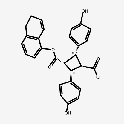 O=C(O)[C@H]1[C@@H](c2ccc(O)cc2)[C@H](C(=O)Oc2cccc3c2C=CCC3)[C@@H]1c1ccc(O)cc1